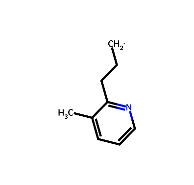 [CH2]CCc1ncccc1C